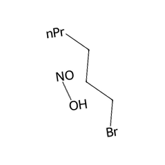 CCCCCCBr.O=NO